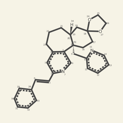 C(=Cc1cc2c(cn1)[C@]1(Cc3ccccn3)CCC3(C[C@H]1CCC2)OCCO3)c1ccccc1